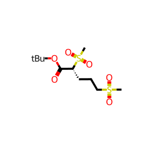 CC(C)(C)OC(=O)[C@@H](CCCS(C)(=O)=O)S(C)(=O)=O